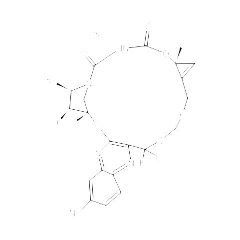 CC[C@@H]1[C@@H]2CN(C(=O)[C@H](C(C)(C)C)NC(=O)O[C@]3(C)C=C3CCCCC(F)(F)c3nc4ccc(C#N)cc4nc3O2)[C@@H]1C(C)=O